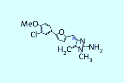 C=c1/c(=C\c2ccc(-c3ccc(OC)c(Cl)c3)o2)nc(N)n1C